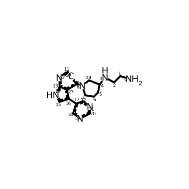 NCCNC1CCCN(c2ccnc3[nH]cc(-c4cncnc4)c23)C1